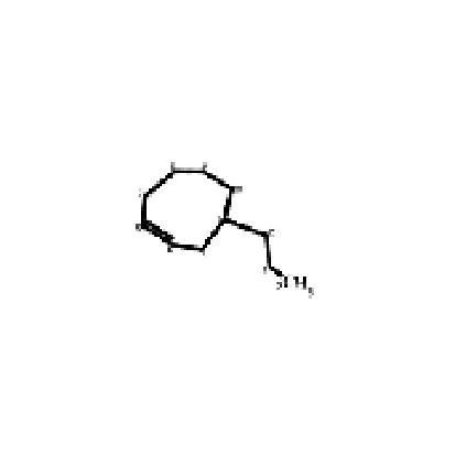 C[CH]CC1C/C=C\CCCC1